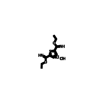 CCOC(=N)c1ccc(C(=N)OCC)s1.Cl.Cl